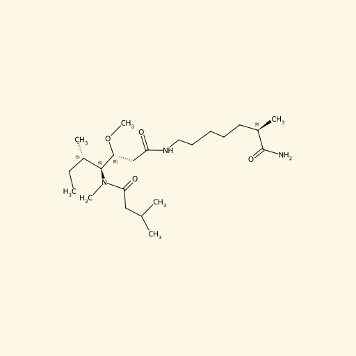 CC[C@H](C)[C@@H]([C@@H](CC(=O)NCCCCC[C@@H](C)C(N)=O)OC)N(C)C(=O)CC(C)C